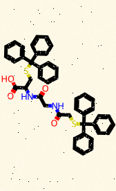 O=C(CSC(c1ccccc1)(c1ccccc1)c1ccccc1)NCC(=O)NC(CSC(c1ccccc1)(c1ccccc1)c1ccccc1)C(=O)O